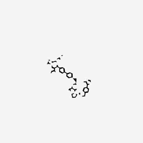 COC(=O)C[C@@H]1N=C(c2ccc(-c3ccc([C@H]4C[C@H]4C(=O)NC(C(=O)N4C[C@H](O)C[C@H]4C(=O)N[C@@H](C)c4ccc(-c5scnc5C)cc4)C(C)(C)C)cc3)cc2)c2c(sc(C)c2C)-n2c(C)nnc21